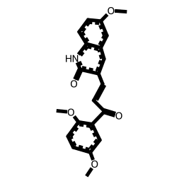 COc1ccc(OC)c(C(=O)C=Cc2cc3cc(OC)ccc3[nH]c2=O)c1